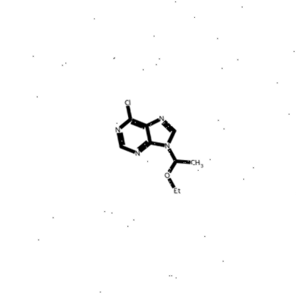 CCOC(C)n1cnc2c(Cl)ncnc21